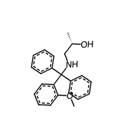 COc1ccccc1C(NC[C@H](C)O)(c1ccccc1)c1ccccc1